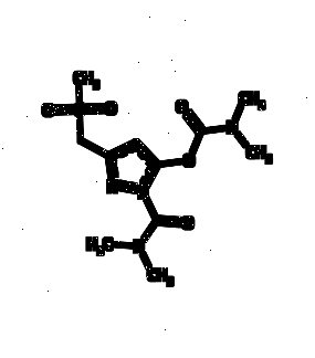 CN(C)C(=O)Oc1cc(CS(C)(=O)=O)nn1C(=O)N(C)C